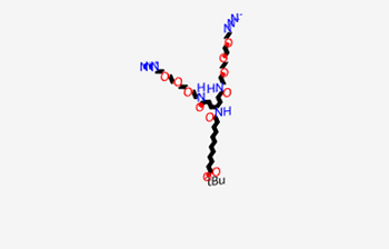 CC(C)(C)OC(=O)CCCCCCCCCCC(=O)NC(CCC(=O)NCCOCCOCCOCCN=[N+]=[N-])CCC(=O)NCCOCCOCCOCCN=[N+]=[N-]